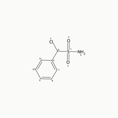 NS(=O)(=O)[C](Cl)c1ccccc1